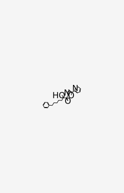 O=C(c1ncc(-c2ccccn2)o1)C(O)CCCCCc1ccccc1